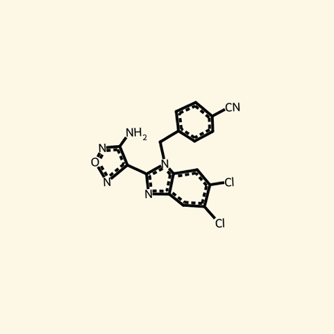 N#Cc1ccc(Cn2c(-c3nonc3N)nc3cc(Cl)c(Cl)cc32)cc1